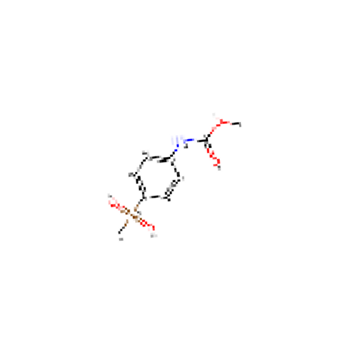 COC(=O)Nc1ccc(S(C)(=O)=O)cc1